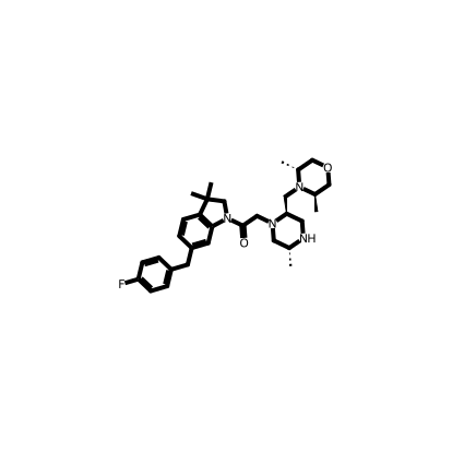 C[C@@H]1CN(CC(=O)N2CC(C)(C)c3ccc(Cc4ccc(F)cc4)cc32)[C@@H](CN2[C@H](C)COC[C@H]2C)CN1